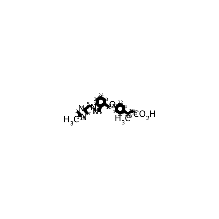 Cc1cnc(Cn2ncc3c(COc4ccc(C(C)CC(=O)O)cc4)cccc32)cn1